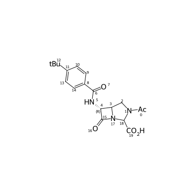 CC(=O)N1CC2[C@@H](NC(=O)c3ccc(C(C)(C)C)cc3)C(=O)N2C1C(=O)O